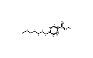 CCCCCCCc1ccc(C(=O)OC)nc1